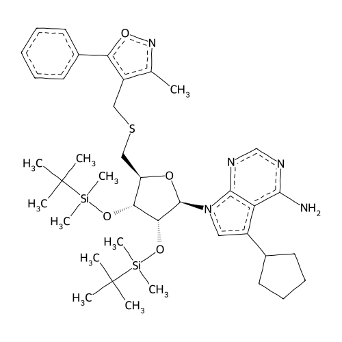 Cc1noc(-c2ccccc2)c1CSC[C@H]1O[C@@H](n2cc(C3CCCC3)c3c(N)ncnc32)[C@H](O[Si](C)(C)C(C)(C)C)[C@@H]1O[Si](C)(C)C(C)(C)C